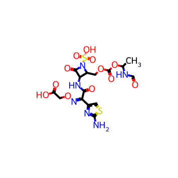 CC(NC=O)OC(=O)OCC1C(NC(=O)C(=NOCC(=O)O)c2csc(N)n2)C(=O)N1S(=O)(=O)O